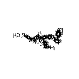 CC1(C)CCC(CN2CCN(c3ccc(C(=O)NS(=O)(=O)c4ccc(OCC5(F)CCN(C(=O)O)CC5)c([N+](=O)[O-])c4)c(Oc4cnc5[nH]ccc5c4)c3)CC2)=C(c2ccc(Cl)cc2)C1